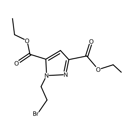 CCOC(=O)c1cc(C(=O)OCC)n(CCBr)n1